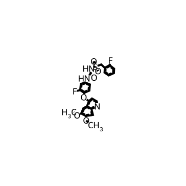 COc1cc2nccc(Oc3ccc(NC(=O)NS(=O)(=O)Cc4ccccc4F)cc3F)c2cc1OC